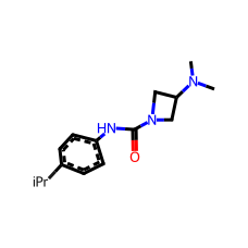 CC(C)c1ccc(NC(=O)N2CC(N(C)C)C2)cc1